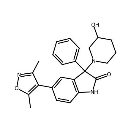 Cc1noc(C)c1-c1ccc2c(c1)C(c1ccccc1)(N1CCCC(O)C1)C(=O)N2